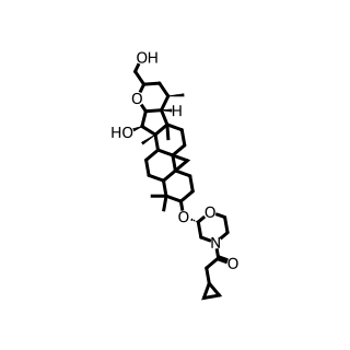 C[C@@H]1CC(CO)OC2[C@H]1C1(C)CCC34CC35CCC(O[C@H]3CN(C(=O)CC6CC6)CCO3)C(C)(C)C5CCC4[C@]1(C)[C@H]2O